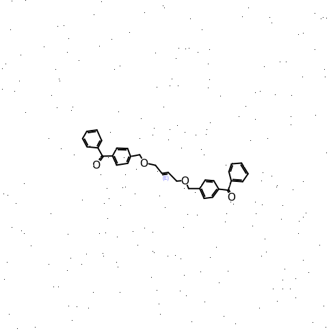 O=C(c1ccccc1)c1ccc(COC/C=C/COCc2ccc(C(=O)c3ccccc3)cc2)cc1